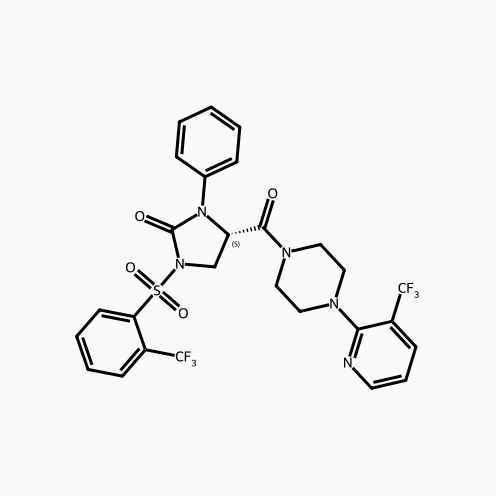 O=C([C@@H]1CN(S(=O)(=O)c2ccccc2C(F)(F)F)C(=O)N1c1ccccc1)N1CCN(c2ncccc2C(F)(F)F)CC1